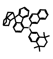 CC1(C)CCC(C)(C)c2cc(N(c3ccc4ccccc4c3)c3cccc4c3-c3ccccc3C43C4CC5CC6(C4)CC63C5)ccc21